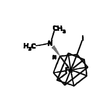 CN(C)[C@]12[CH]3[CH]4[CH]5[C]1(I)[Fe]45321678[CH]2[CH]1[CH]6[CH]7[CH]28